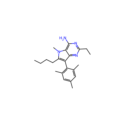 CCCCc1c(-c2c(C)cc(C)cc2C)c2nc(CC)nc(N)c2n1C